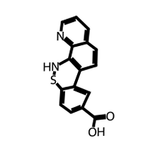 O=C(O)c1ccc2c(c1)-c1ccc3cccnc3c1NS2